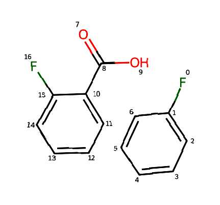 Fc1ccccc1.O=C(O)c1ccccc1F